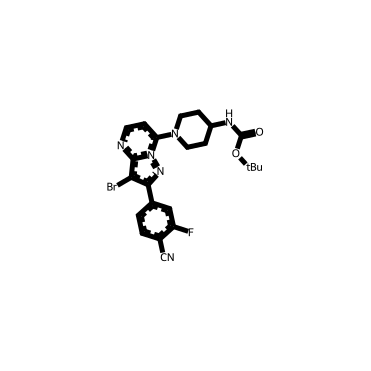 CC(C)(C)OC(=O)NC1CCN(c2ccnc3c(Br)c(-c4ccc(C#N)c(F)c4)nn23)CC1